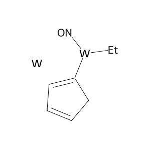 C[CH2][W]([N]=O)[C]1=CC=CC1.[W]